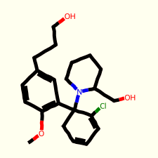 COc1ccc(CCCO)cc1C1(N2CCCCC2CO)[CH]C=CC=C1Cl